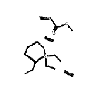 C=C.C=C.C=CC(=O)OC.CCC1CCCC[Si]1(CC)CC